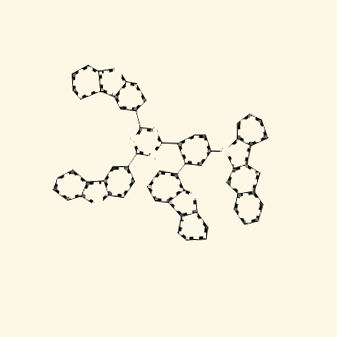 c1ccc2cc3c(cc2c1)c1ccccc1n3-c1ccc(-c2nc(-c3ccc4oc5ccccc5c4c3)nc(-c3ccc4oc5ccccc5c4c3)n2)c(-c2cccc3c2oc2ccccc23)c1